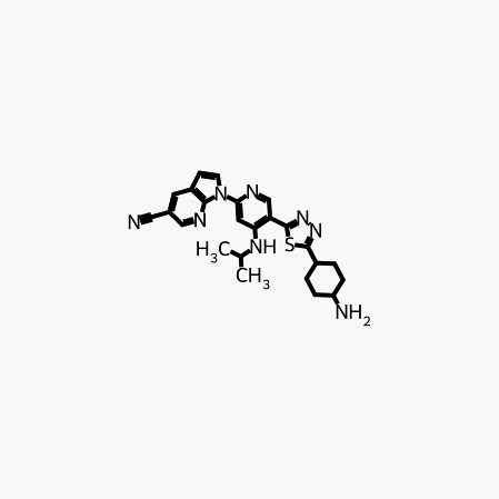 CC(C)Nc1cc(-n2ccc3cc(C#N)cnc32)ncc1-c1nnc(C2CCC(N)CC2)s1